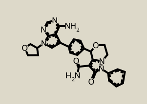 NC(=O)c1c2n(n(-c3ccccc3)c1=O)CCOC2c1ccc(-c2cn(C3CCOC3)c3ncnc(N)c23)cc1